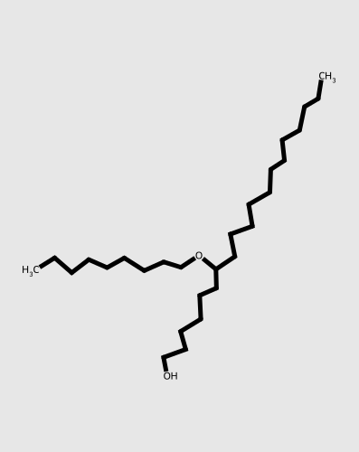 CCCCCCCCCCCCC(CCCCCCO)OCCCCCCCCC